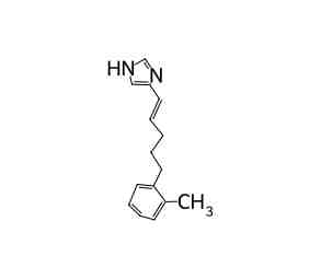 Cc1ccccc1CCCC=Cc1c[nH]cn1